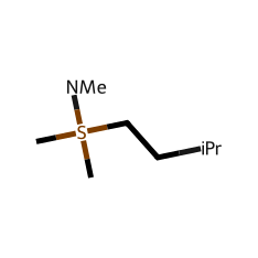 CNS(C)(C)CCC(C)C